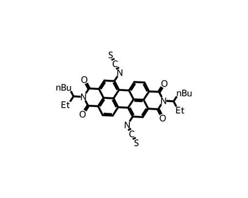 CCCCC(CC)N1C(=O)c2ccc3c4c(N=C=S)cc5c6c(ccc(c7c(N=C=S)cc(c2c37)C1=O)c64)C(=O)N(C(CC)CCCC)C5=O